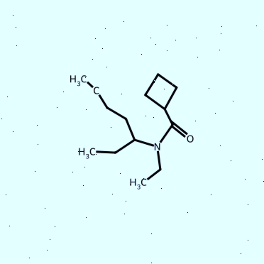 CCCCC(CC)N(CC)C(=O)C1CCC1